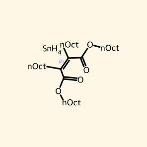 CCCCCCCCOC(=O)/C(CCCCCCCC)=C(/CCCCCCCC)C(=O)OCCCCCCCC.[SnH4]